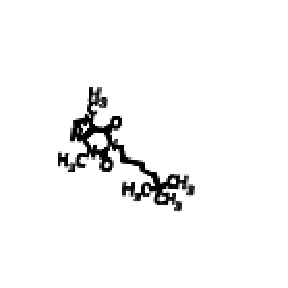 Cn1cnc2c1c(=O)n(CCCCCC(C)(C)C)c(=O)n2C